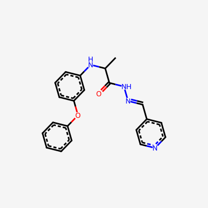 CC(Nc1cccc(Oc2ccccc2)c1)C(=O)N/N=C/c1ccncc1